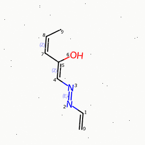 C=C/N=N/C=C(O)/C=C\C